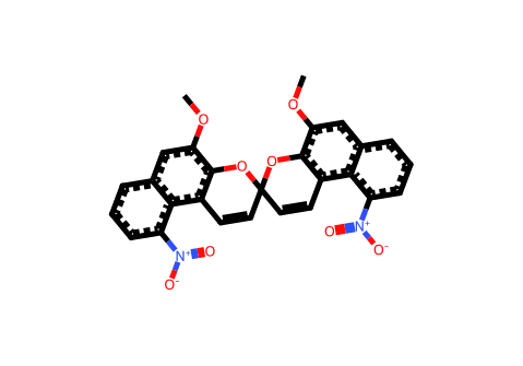 COc1cc2cccc([N+](=O)[O-])c2c2c1OC1(C=C2)C=Cc2c(c(OC)cc3cccc([N+](=O)[O-])c23)O1